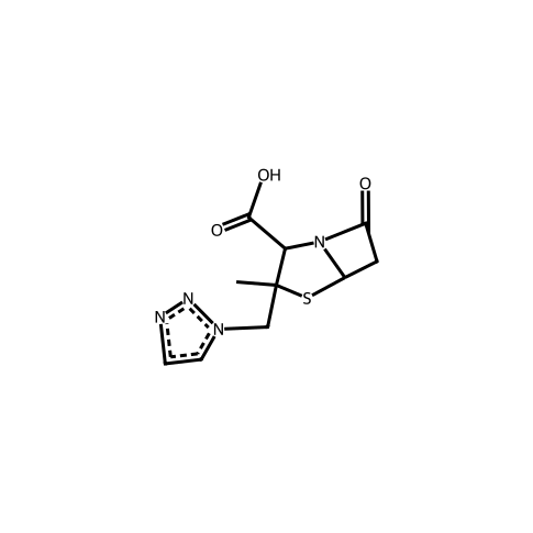 CC1(Cn2ccnn2)SC2CC(=O)N2C1C(=O)O